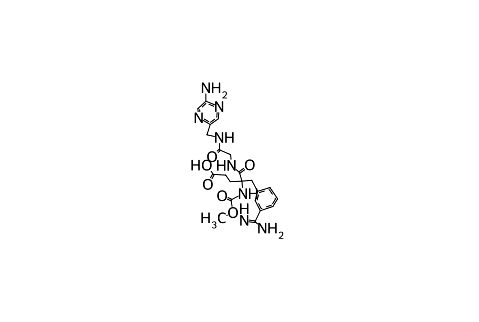 COC(=O)NC(CCC(=O)O)(Cc1cccc(C(=N)N)c1)C(=O)NCC(=O)NCc1cnc(N)cn1